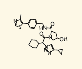 Cc1ncsc1-c1ccc(CNC(=O)[C@@H]2C[C@@H](O)CN2C(=O)C(C2CCCCC2)n2cc(C3CC3)nn2)cc1